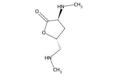 CNC[C@H]1C[C@H](NC)C(=O)O1